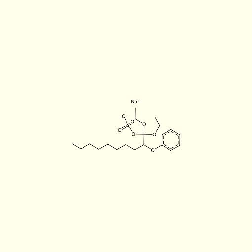 CCCCCCCCC(Oc1ccccc1)C(OCC)(OCC)OS(=O)(=O)[O-].[Na+]